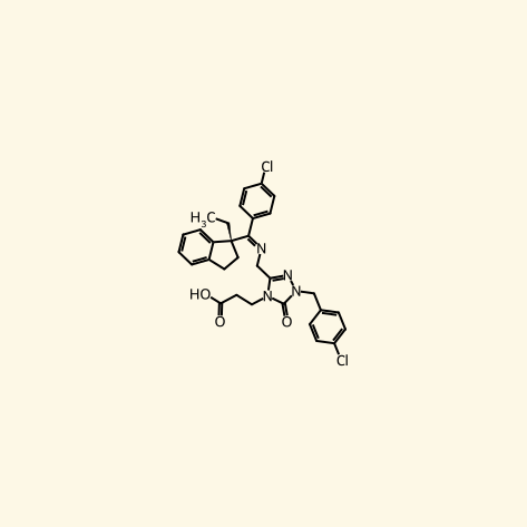 CC[C@@]1(/C(=N\Cc2nn(Cc3ccc(Cl)cc3)c(=O)n2CCC(=O)O)c2ccc(Cl)cc2)CCc2ccccc21